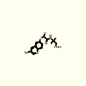 CCC(Oc1ccc2ncc(Br)cc2c1)C(=O)NC(C)(C)COC